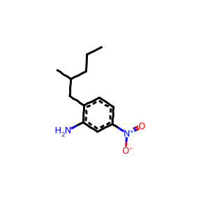 CCCC(C)Cc1ccc([N+](=O)[O-])cc1N